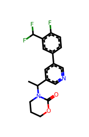 CC(c1cncc(-c2ccc(F)c(C(F)F)c2)c1)N1CCCOC1=O